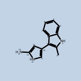 Cc1[nH]c2ccccc2c1-c1c[nH]c(N)c1